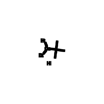 C[CH2][Ge]([CH2]C)[C](C)(C)C.I